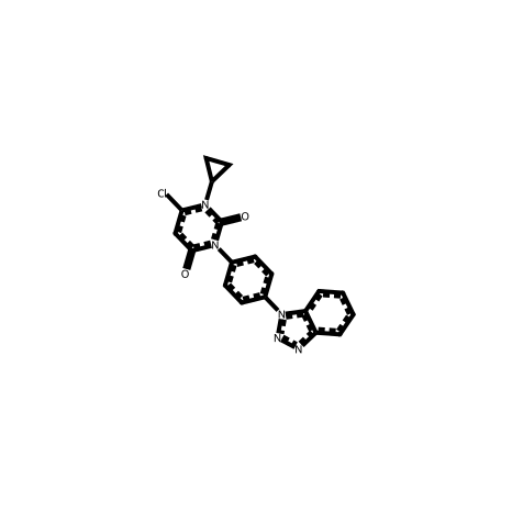 O=c1cc(Cl)n(C2CC2)c(=O)n1-c1ccc(-n2nnc3ccccc32)cc1